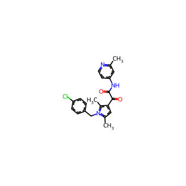 Cc1cc(NC(=O)C(=O)c2cc(C)n(Cc3ccc(Cl)cc3)c2C)ccn1